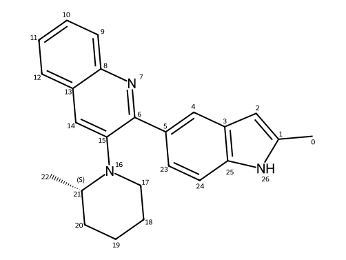 Cc1cc2cc(-c3nc4ccccc4cc3N3CCCC[C@@H]3C)ccc2[nH]1